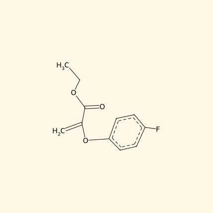 C=C(Oc1ccc(F)cc1)C(=O)OCC